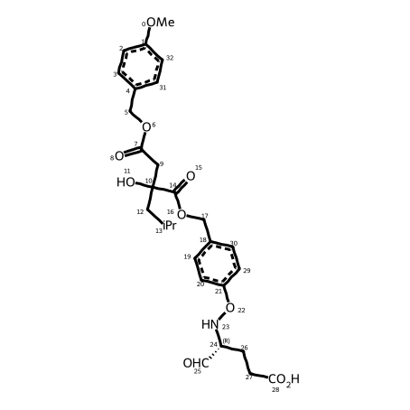 COc1ccc(COC(=O)CC(O)(CC(C)C)C(=O)OCc2ccc(ON[C@@H](C=O)CCC(=O)O)cc2)cc1